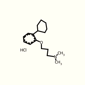 CN(C)CCCOc1ccccc1C1CCCCC1.Cl